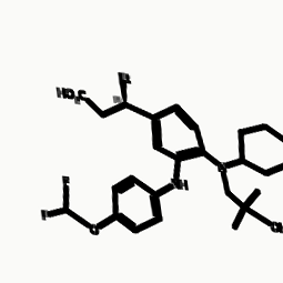 CC[C@H](CC(=O)O)c1ccc(N(CC(C)(C)O)C2CCCCC2)c(Nc2ccc(OC(F)F)cc2)c1